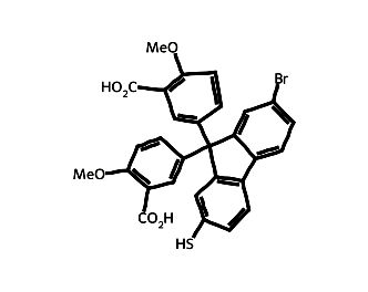 COc1ccc(C2(c3ccc(OC)c(C(=O)O)c3)c3cc(S)ccc3-c3ccc(Br)cc32)cc1C(=O)O